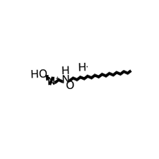 CCCCCCCCCCCCCCCCCC(=O)NCCC[N+](C)(C)CCO.[H]